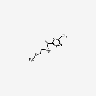 CC(c1nnc(C(F)(F)F)s1)[S+]([O-])CCSC(F)(F)F